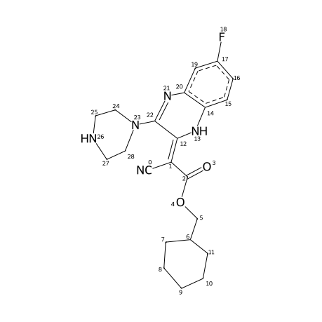 N#C/C(C(=O)OCC1CCCCC1)=C1/Nc2ccc(F)cc2N=C1N1CCNCC1